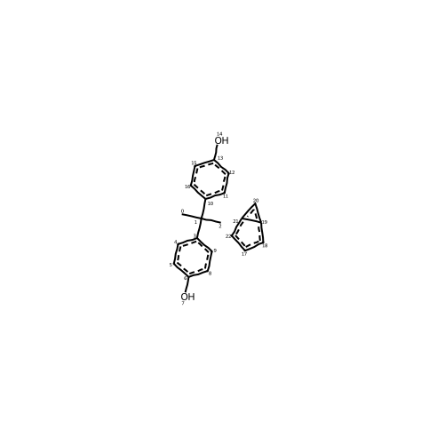 CC(C)(c1ccc(O)cc1)c1ccc(O)cc1.c1cc2cc-2c1